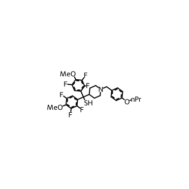 CCCOc1ccc(CN2CCC(C(S)(c3cc(F)c(OC)c(F)c3F)c3cc(F)c(OC)c(F)c3F)CC2)cc1